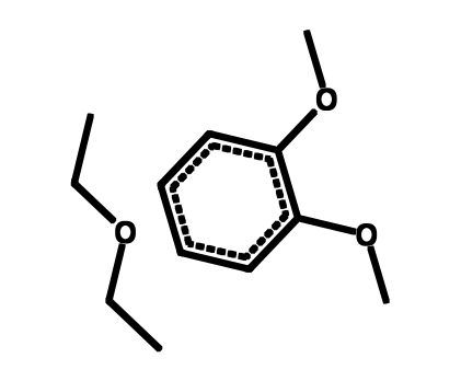 CCOCC.COc1ccccc1OC